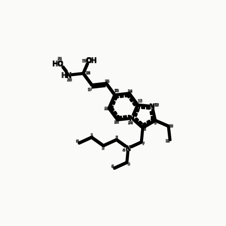 CCCCN(CC)Cc1c(CC)nc2cc(/C=C/C(O)NO)ccn12